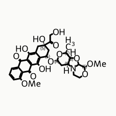 COc1cccc2c1C(=O)c1c(O)c3c(c(O)c1C2=O)C[C@@](O)(C(=O)CO)C[C@@H]3O[C@H]1C[C@H]2[C@H](OC3[C@@H](OC)OCCN32)[C@H](C)O1